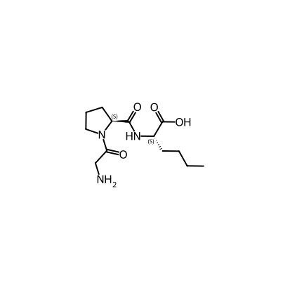 CCCC[C@H](NC(=O)[C@@H]1CCCN1C(=O)CN)C(=O)O